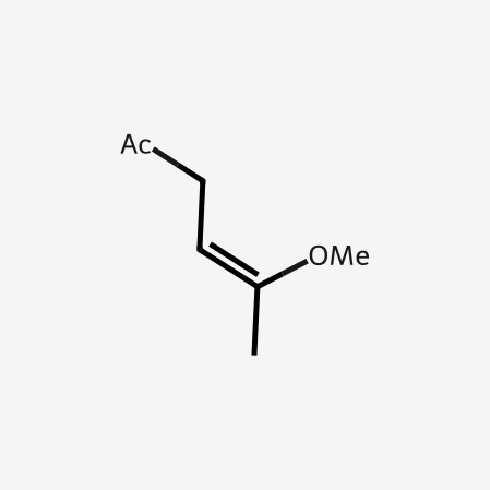 CO/C(C)=C\CC(C)=O